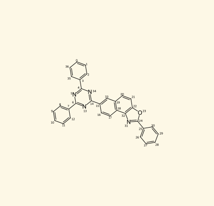 c1ccc(-c2nc(-c3ccccc3)nc(-c3ccc4c(ccc5oc(-c6ccccc6)nc54)c3)n2)cc1